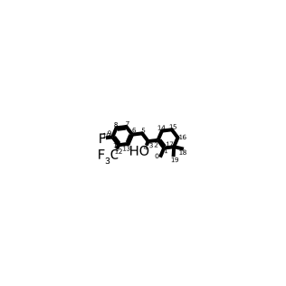 CC1=C(C(O)Cc2ccc(F)c(C(F)(F)F)c2)CCCC1(C)C